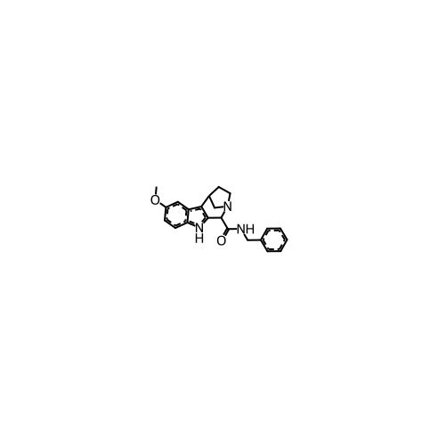 COc1ccc2[nH]c3c(c2c1)C1CCN(C1)C3C(=O)NCc1ccccc1